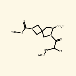 CCOC(=O)C1CC2(CN(C(=O)OC(C)(C)C)C2)CN1C(=O)C(NOC)C(C)C